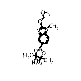 CCOc1nc2cc(B3OC(C)(C)C(C)(C)O3)ccc2n1C